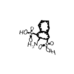 Nc1c(S(=O)(=O)O)cc2ccccc2c1S(=O)(=O)O